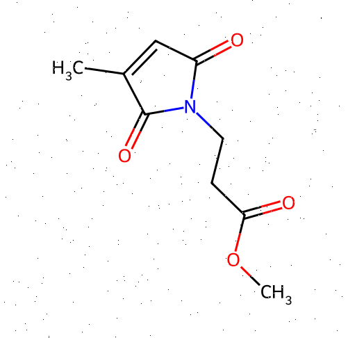 COC(=O)CCN1C(=O)C=C(C)C1=O